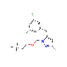 C[Si](C)(C)CCOCn1nc(I)cc1Cc1cc(F)cc(F)c1